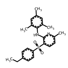 CCc1ccc(S(=O)(=O)c2ccc(C)nc2Nc2c(C)cc(C)cc2C)cc1